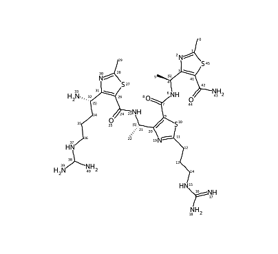 Cc1nc([C@H](C)NC(=O)c2sc(CCCNC(=N)N)nc2[C@H](C)NC(=O)c2sc(C)nc2[C@@H](N)CCCNC(N)N)c(C(N)=O)s1